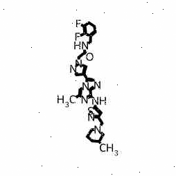 Cc1cn2c(-c3cnn(CC(=O)NCC4=CCCC(F)=C4F)c3)cnc2c(Nc2cc(CN3CCCC(C)C3)ns2)n1